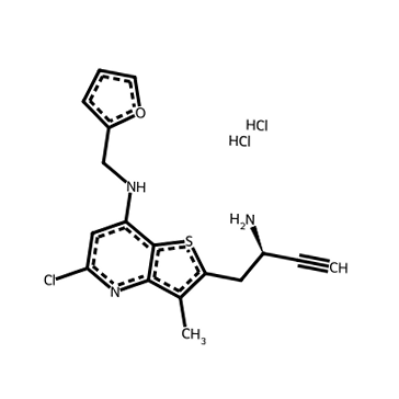 C#C[C@H](N)Cc1sc2c(NCc3ccco3)cc(Cl)nc2c1C.Cl.Cl